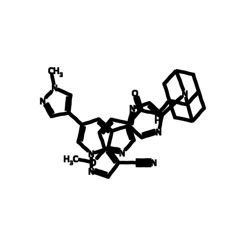 COc1ccc(C(=O)NC23CC4CC(C2)N(c2cnc(-c5cc(-c6cnn(C)c6)cn6ncc(C#N)c56)cn2)C(C4)C3)cn1